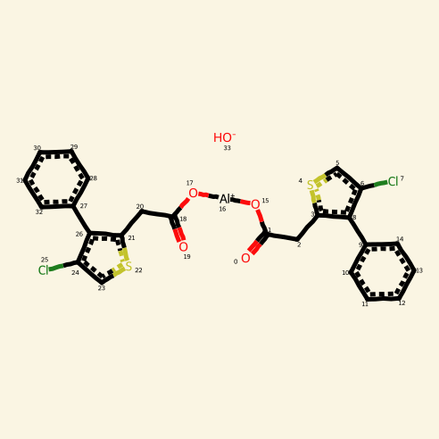 O=C(Cc1scc(Cl)c1-c1ccccc1)[O][Al+][O]C(=O)Cc1scc(Cl)c1-c1ccccc1.[OH-]